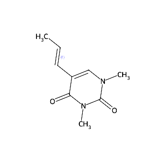 C/C=C/c1cn(C)c(=O)n(C)c1=O